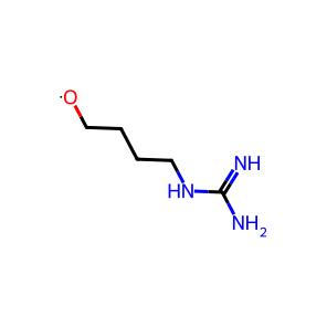 N=C(N)NCCCC[O]